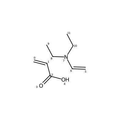 C=CC(=O)O.C=CN(CC)CC